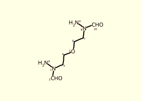 NN(C=O)CCOCCN(N)C=O